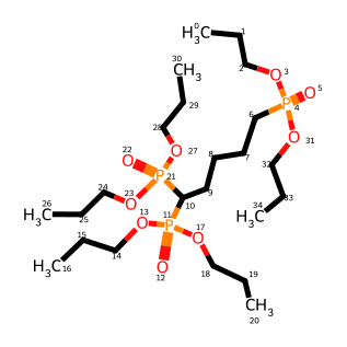 CCCOP(=O)(CCCCC(P(=O)(OCCC)OCCC)P(=O)(OCCC)OCCC)OCCC